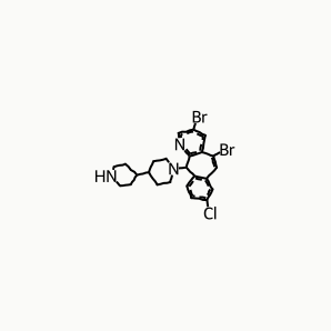 Clc1ccc2c(c1)C=C(Br)c1cc(Br)cnc1C2N1CCC(C2CCNCC2)CC1